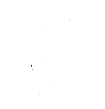 O=C1C[C@@H](C(F)(F)F)c2c(ncnc2N2CCC(c3nccn3CCN3CCCC3)CC2)N1